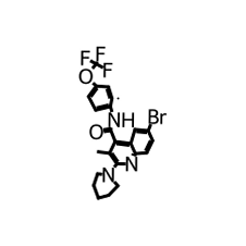 Cc1c(N2CCCCC2)nc2ccc(Br)cc2c1C(=O)Nc1[c]cc(OC(F)(F)F)cc1